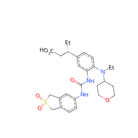 CC[C@@H](CC(=O)O)c1ccc(N(CC)C2CCOCC2)c(NC(=O)Nc2ccc3c(c2)CS(=O)(=O)C3)c1